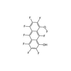 Oc1c(F)c(F)c(F)c2c(F)c3c(F)c(F)c(F)c(OF)c3c(F)c12